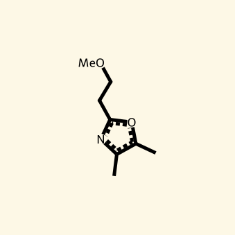 COCCc1nc(C)c(C)o1